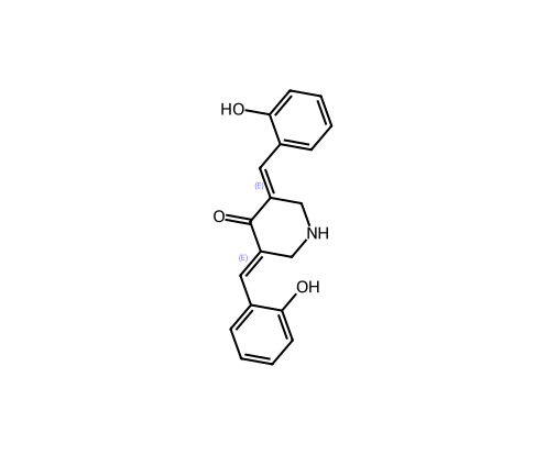 O=C1/C(=C/c2ccccc2O)CNC/C1=C\c1ccccc1O